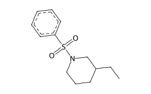 CCC1CCCN(S(=O)(=O)c2ccccc2)C1